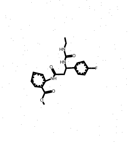 CCNC(=O)NC(CC(=O)Nc1ccccc1C(=O)OC)c1ccc(F)cc1